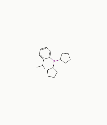 CC(C)c1ccccc1P(C1CCCC1)C1CCCC1